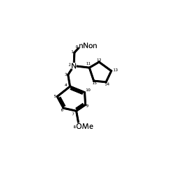 CCCCCCCCCCN(Cc1ccc(OC)cc1)C1CCCC1